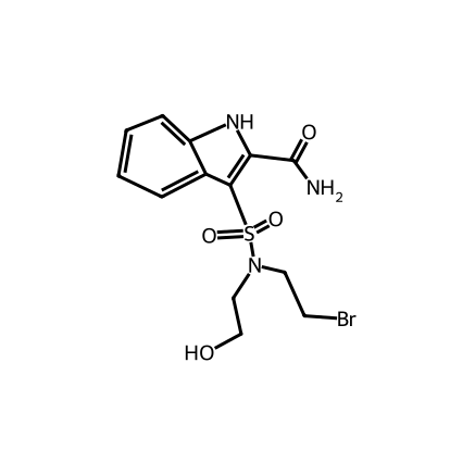 NC(=O)c1[nH]c2ccccc2c1S(=O)(=O)N(CCO)CCBr